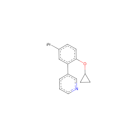 CC(C)c1ccc(OC2CC2)c(-c2cccnc2)c1